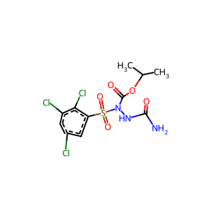 CC(C)OC(=O)N(NC(N)=O)S(=O)(=O)c1cc(Cl)cc(Cl)c1Cl